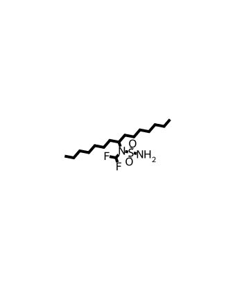 CCCCCCCC(CCCCCCC)N(C(F)F)S(N)(=O)=O